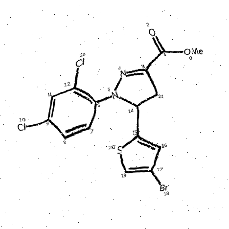 COC(=O)C1=NN(c2ccc(Cl)cc2Cl)C(c2cc(Br)cs2)C1